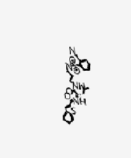 CC(C)C[C@H](NC(=O)c1cc2ccccc2s1)C(=O)NCCCN(C)S(=O)(=O)c1ccccc1C#N